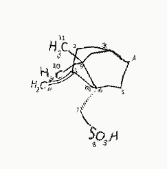 C=C1CC2CC[C@]1(CS(=O)(=O)O)C2(C)C